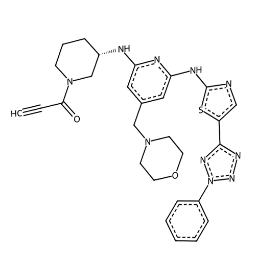 C#CC(=O)N1CCC[C@H](Nc2cc(CN3CCOCC3)cc(Nc3ncc(-c4nnn(-c5ccccc5)n4)s3)n2)C1